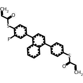 C=CC(=O)Sc1ccc(-c2ccc(-c3ccc(SC(=O)C=C)c(F)c3)c3ccccc23)cc1